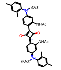 CCCCCCCCN(c1ccc(C2=C([O-])/C(=C3C=C/C(=[N+](\CCCCCCCC)c4ccc(C)cc4C)C=C\3NC(C)=O)C2=O)c(NC(C)=O)c1)c1ccc(C)cc1C